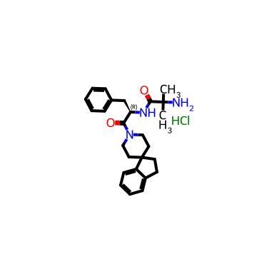 CC(C)(N)C(=O)N[C@H](Cc1ccccc1)C(=O)N1CCC2(CCc3ccccc32)CC1.Cl